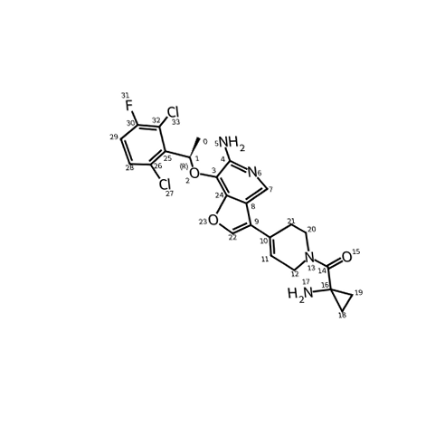 C[C@@H](Oc1c(N)ncc2c(C3=CCN(C(=O)C4(N)CC4)CC3)coc12)c1c(Cl)ccc(F)c1Cl